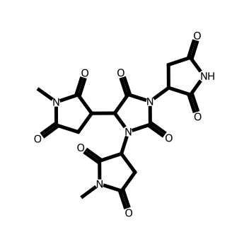 CN1C(=O)CC(C2C(=O)N(C3CC(=O)NC3=O)C(=O)N2C2CC(=O)N(C)C2=O)C1=O